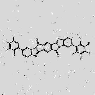 O=c1c2cc3c(cc2c2nc4ccc(-c5cc(F)c(F)c(F)c5F)cc4n12)c(=O)n1c2cc(-c4c(F)c(F)c(F)c(F)c4F)ccc2nc31